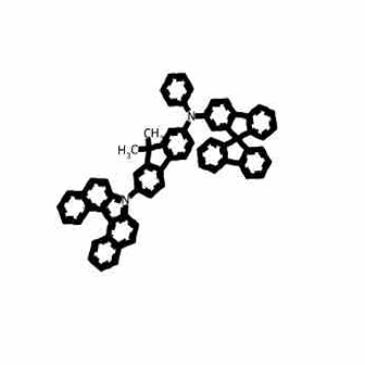 CC1(C)c2cc(N(c3ccccc3)c3ccc4c(c3)C3(c5ccccc5-c5ccccc53)c3ccccc3-4)ccc2-c2ccc(-n3c4ccc5ccccc5c4c4c5ccccc5ccc43)cc21